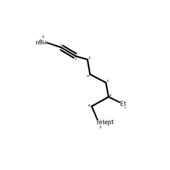 [CH2]CCCC#CCCCC(CC)CCCCCCC[CH2]